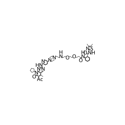 CC(=O)c1c(C)c2cnc(Nc3ccc(N4CCN(CCNCCOCCOCCC(=O)Nc5ccccc5C(=O)Nc5nc(C)c(C)s5)CC4)cn3)nc2n(C2CCCC2)c1=O